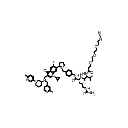 Cc1ccc(N2CCC[C@H](N(Cc3ccnc(C)c3)Cc3cn(C4CC4)c4cc(C5CCCN5Cc5ccc(NC(=O)[C@H](CCCNC(N)=O)NC(=O)[C@@H](NC(=O)CCOCCOCCOCCN=[N+]=[N-])C(C)C)cc5)c(F)cc4c3=O)C2)cn1